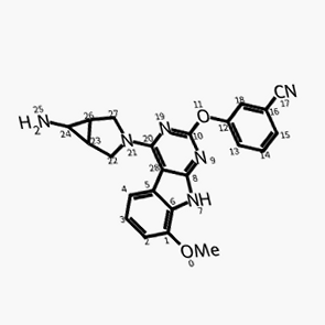 COc1cccc2c1[nH]c1nc(Oc3cccc(C#N)c3)nc(N3CC4C(N)C4C3)c12